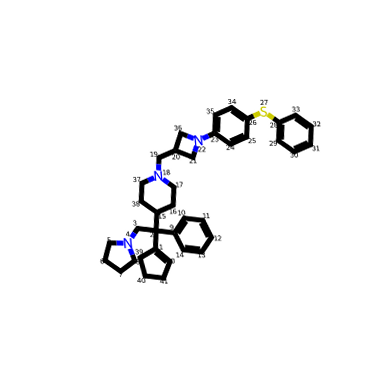 C1=C(C(CN2CCCC2)(c2ccccc2)C2CCN(CC3CN(c4ccc(Sc5ccccc5)cc4)C3)CC2)CCC1